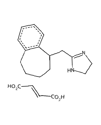 O=C(O)C=CC(=O)O.c1ccc2c(c1)CCCCC2CC1=NCCN1